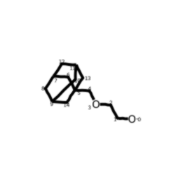 [O]CCOCC12CC3CC(CC(C3)C1)C2